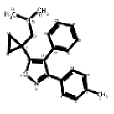 Cc1ccc(-c2noc(C3(CN(C)C)CC3)c2-c2ccccc2)cc1